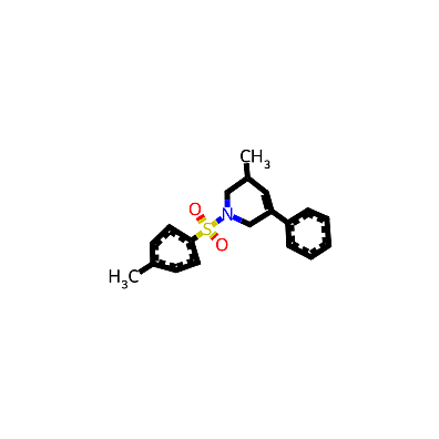 Cc1ccc(S(=O)(=O)N2CC(c3ccccc3)=CC(C)C2)cc1